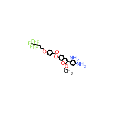 CCOC(=O)C(=Cc1ccc(OC(=O)c2ccc(OCCCC(F)(F)C(F)(F)C(F)(F)F)cc2)cc1)c1ccc(N)cc1N